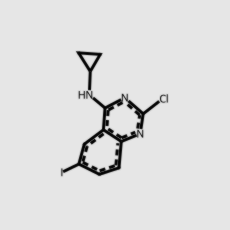 Clc1nc(NC2CC2)c2cc(I)ccc2n1